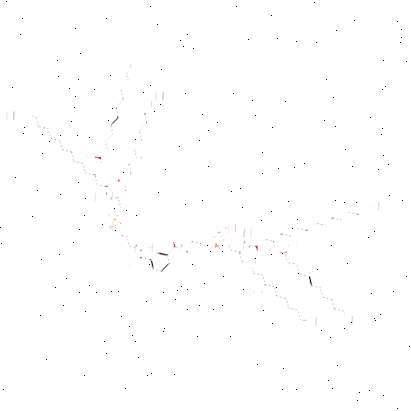 CCCCCC/C=C/CCCC(=O)OC(CCCCCCCCCCC)CC(=O)NC(COCC[C@H](O)CCCCCCC)COP(=O)(O)OCCNC(=O)c1cccc(C(=O)NCCOP(=O)(O)OCC(COCC[C@H](O)CCCCCCC)NC(=O)CC(CCCCCCCCCCC)OC(=O)CCC/C=C/CCCCCC)c1